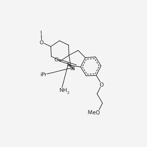 COCCOc1ccc2c(c1)C1(N=C(N)N(C(C)C)C1=O)C1(CCC(OI)CC1)C2